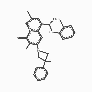 Cc1cc([C@@H](C)Nc2ccccc2C(=O)O)c2cc(N3CC(C)(c4ccccc4)C3)c(C)c(=O)n2c1